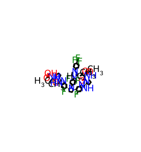 COC(=O)N[C@H](C(=O)N1CCC[C@H]1c1nc2cc([C@H]3CC[C@H](c4cc5nc([C@@H]6CCCN6C(=O)[C@@H](NC(=O)O)C(C)C)[nH]c5cc4F)N3c3cc(F)c(N4CCN(c5ccc(C(F)(F)F)cc5)CC4)c(F)c3)c(F)cc2[nH]1)C(C)C